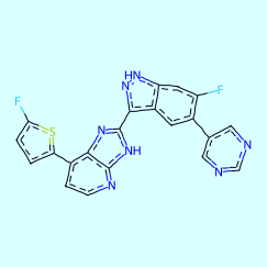 Fc1ccc(-c2ccnc3[nH]c(-c4n[nH]c5cc(F)c(-c6cncnc6)cc45)nc23)s1